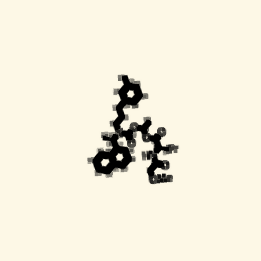 COCC(=O)N[C@@H](C(=O)OC(C)OC(=O)N(CCCc1cccc(C)c1)[C@H](C)c1cccc2ccccc12)C(C)C